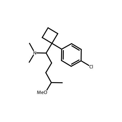 COC(C)CCC(N(C)C)C1(c2ccc(Cl)cc2)CCC1